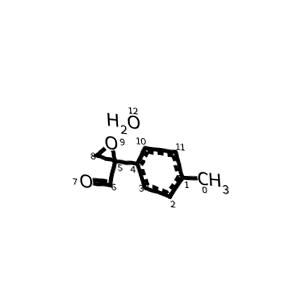 Cc1ccc(C2(C=O)CO2)cc1.O